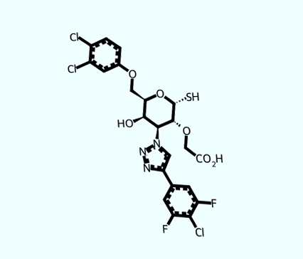 O=C(O)CO[C@@H]1[C@@H](n2cc(-c3cc(F)c(Cl)c(F)c3)nn2)[C@@H](O)[C@@H](COc2ccc(Cl)c(Cl)c2)O[C@@H]1S